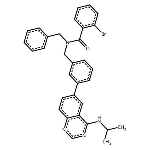 CC(C)Nc1ncnc2ccc(-c3cccc(CN(Cc4ccccc4)C(=O)c4ccccc4Br)c3)cc12